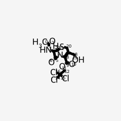 CC(=O)NC1C(=O)N2C(C(=O)OCC(Cl)(Cl)Cl)=C(CO)CS[C@H]12